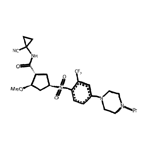 CO[C@@H]1C[C@H](S(=O)(=O)c2ccc(N3CCN(C(C)C)CC3)cc2C(F)(F)F)C[C@H]1C(=O)NC1(C#N)CC1